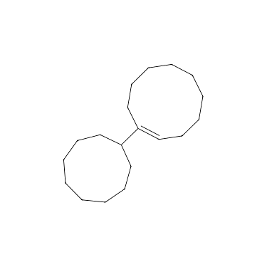 C1=C(C2CCCCCCCC2)CCCCCCCC1